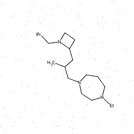 CCN1CCCN(CC(C)CC2CCN2CC(C)C)CC1